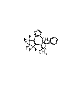 Cc1ccsc1C1=C(c2nc(-c3ccccc3)sc2C)C(F)(F)C(F)(F)C1(F)F